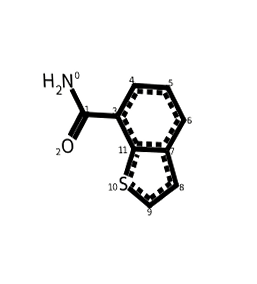 NC(=O)c1cccc2ccsc12